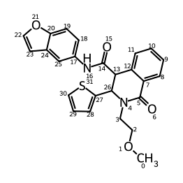 COCCN1C(=O)c2ccccc2C(C(=O)Nc2ccc3occc3c2)C1c1cccs1